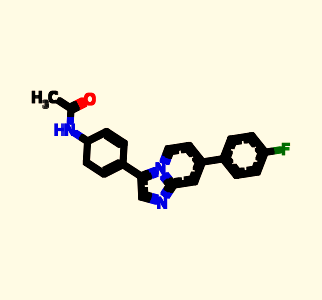 CC(=O)NC1C=CC(c2cnc3cc(-c4ccc(F)cc4)ccn23)=CC1